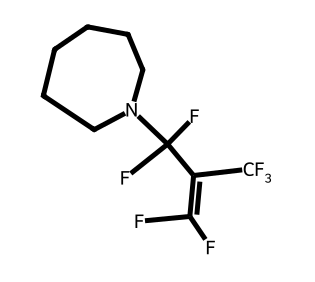 FC(F)=C(C(F)(F)F)C(F)(F)N1CCCCCC1